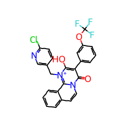 O=c1c(-c2cccc(OC(F)(F)F)c2)c(O)[n+](Cc2ccc(Cl)nc2)c2c3ccccc3ccn12